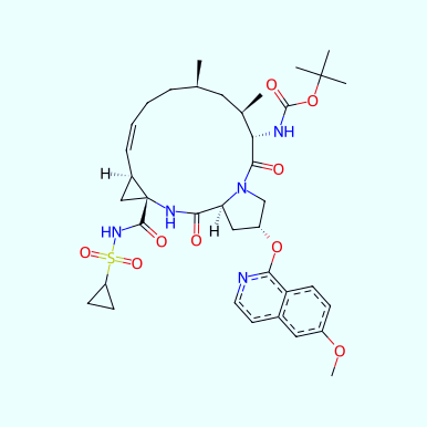 COc1ccc2c(O[C@@H]3C[C@H]4C(=O)N[C@]5(C(=O)NS(=O)(=O)C6CC6)C[C@H]5/C=C\CC[C@@H](C)C[C@@H](C)[C@H](NC(=O)OC(C)(C)C)C(=O)N4C3)nccc2c1